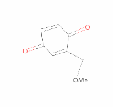 COCC1=CC(=O)C=CC1=O